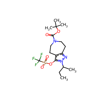 CCC(C)n1nc2c(c1OS(=O)(=O)C(F)(F)F)CCN(C(=O)OC(C)(C)C)CC2